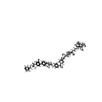 CC(C(=O)OCc1ccccc1)c1ccc(-c2ccc(NC(=O)COc3ccc(C(=O)c4ccc(OCC(=O)NCCNC(=O)CCCC[C@@H]5SC[C@@H]6NC(=O)N[C@@H]65)cc4)cc3)cc2)c(F)c1